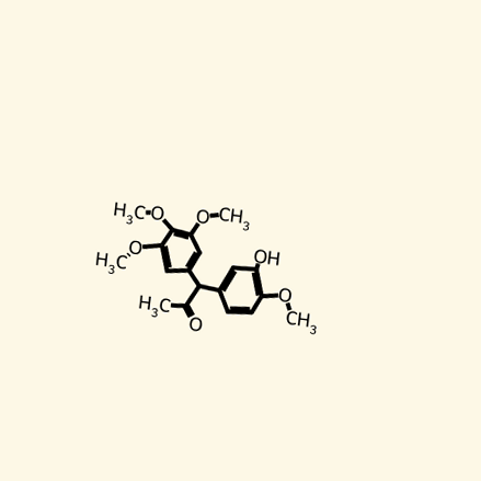 COc1ccc(C(C(C)=O)c2cc(OC)c(OC)c(OC)c2)cc1O